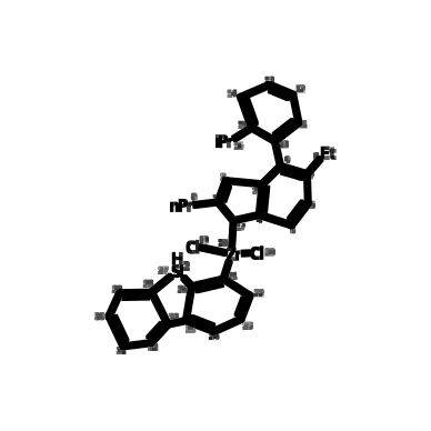 CCCC1=Cc2c(ccc(CC)c2-c2ccccc2C(C)C)[CH]1[Zr]([Cl])([Cl])[c]1cccc2c1[SiH2]c1ccccc1-2